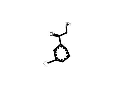 CC(C)CC(=O)c1cccc(Cl)c1